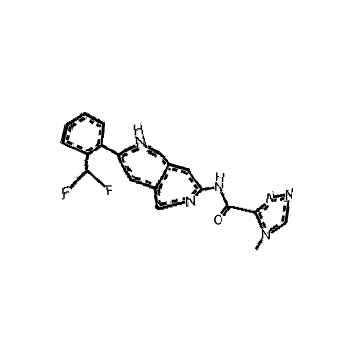 Cn1cnnc1C(=O)Nc1cc2[nH]c(-c3ccccc3C(F)F)cc2cn1